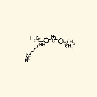 C=C=C(NCCCCCCN=[N+]=[N-])c1ccc(C2=NCC(c3ccc(N(C)C)cc3)O2)cc1